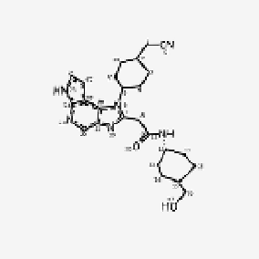 N#CCC1CCC(n2c(CC(=O)N[C@H]3CC[C@H](CO)CC3)nc3cnc4[nH]ccc4c32)CC1